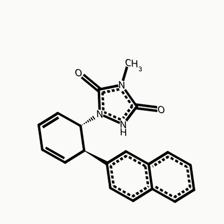 Cn1c(=O)[nH]n([C@H]2C=CC=C[C@@H]2c2ccc3ccccc3c2)c1=O